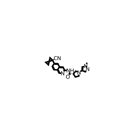 Cn1cc(N2CC[C@H](C(=O)Nc3cc4cc([C@@]5(C#N)CC56CC6)ccc4cn3)C2)cn1